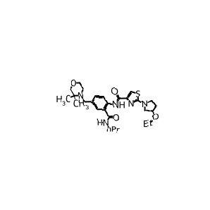 CCCNC(=O)c1cc(CN2CCOCC2(C)C)ccc1NC(=O)c1csc(N2CC[C@@H](OCC)C2)n1